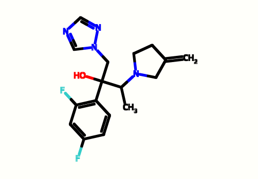 C=C1CCN(C(C)C(O)(Cn2cncn2)c2ccc(F)cc2F)C1